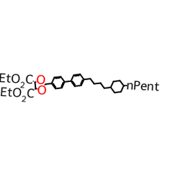 CCCCCC1CCC(CCCCc2ccc(-c3ccc(C4O[C@@H](C(=O)OCC)[C@H](C(=O)OCC)O4)cc3)cc2)CC1